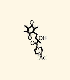 CC(=O)N1CCN(C(=O)C(C)(O)CCC2=C(C)C(=O)C(C)=C(C)C2=O)CC1